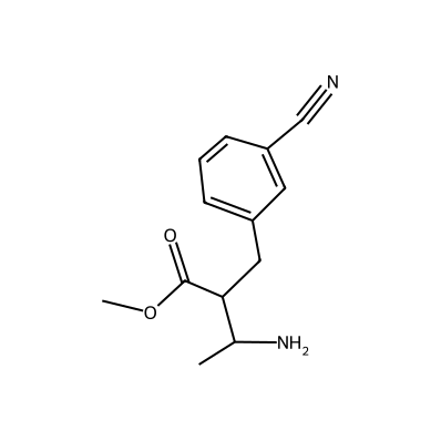 COC(=O)C(Cc1cccc(C#N)c1)C(C)N